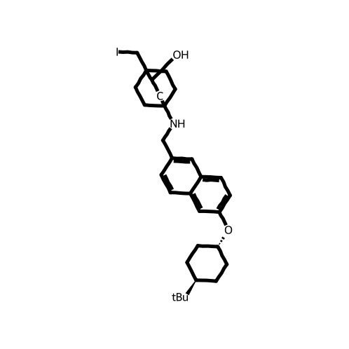 CC(C)(C)[C@H]1CC[C@H](Oc2ccc3cc(CNC45CCC(CI)(CC4)C(O)C5)ccc3c2)CC1